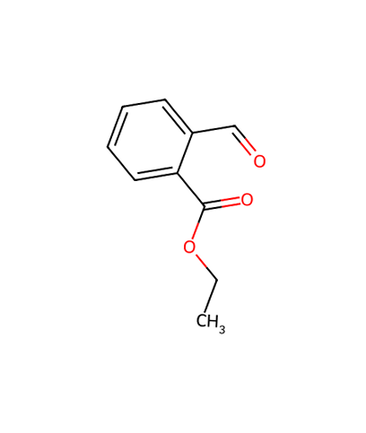 CCOC(=O)c1ccccc1C=O